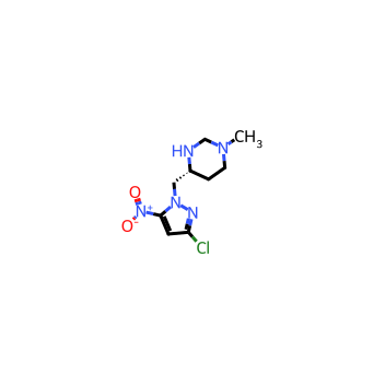 CN1CC[C@H](Cn2nc(Cl)cc2[N+](=O)[O-])NC1